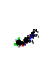 C=CCn1nc(NC(=O)c2ccc(C3=NOC(c4cc(Cl)c(F)c(Cl)c4)(C(F)(F)F)C3)cc2C)nc1C(F)(F)F